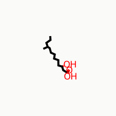 CCCC(C)CCCCCCC(O)CC(=O)O